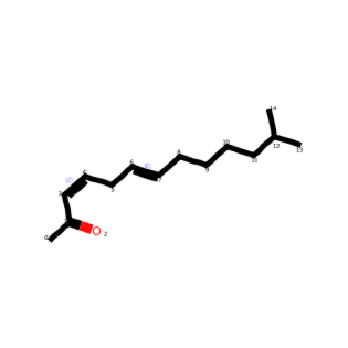 CC(=O)/C=C\C/C=C/CCCCC(C)C